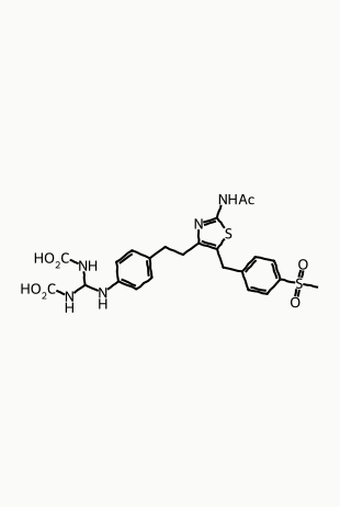 CC(=O)Nc1nc(CCc2ccc(NC(NC(=O)O)NC(=O)O)cc2)c(Cc2ccc(S(C)(=O)=O)cc2)s1